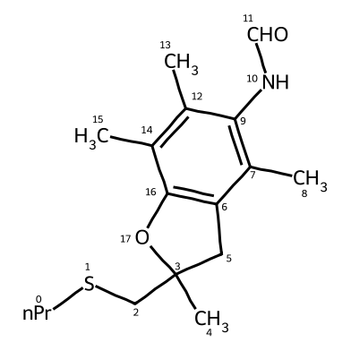 CCCSCC1(C)Cc2c(C)c(NC=O)c(C)c(C)c2O1